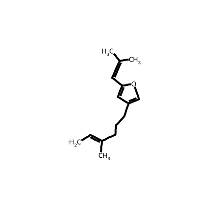 [CH2]C=C(C)CCCc1coc(C=C(C)C)c1